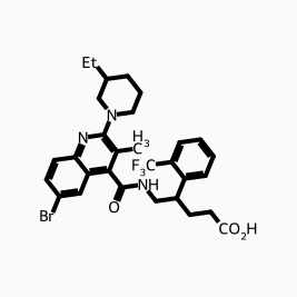 CCC1CCCN(c2nc3ccc(Br)cc3c(C(=O)NCC(CCC(=O)O)c3ccccc3C(F)(F)F)c2C)C1